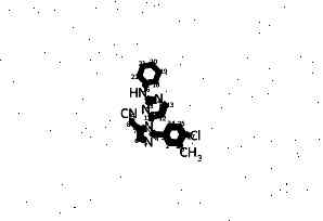 Cc1cc(-c2ncc(CC#N)n2-c2ccnc(NC3CCCCC3)n2)ccc1Cl